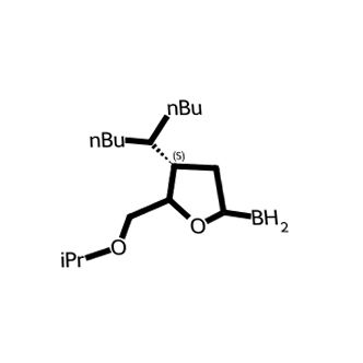 BC1C[C@@H](C(CCCC)CCCC)C(COC(C)C)O1